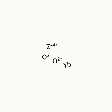 [O-2].[O-2].[Yb].[Zr+4]